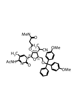 [CH2]C(C#N)[C@@H]1[C@@H](OCCC(=O)NC)[C@H](n2cc(C)c(NC(C)=O)nc2=O)O[C@@H]1COC(c1ccccc1)(c1ccc(OC)cc1)c1ccc(OC)cc1